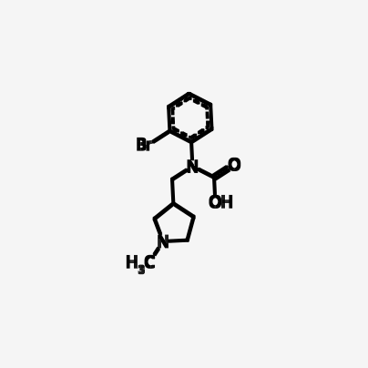 CN1CCC(CN(C(=O)O)c2ccccc2Br)C1